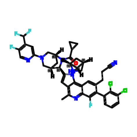 Cc1nc2c(F)c(-c3cccc(Cl)c3Cl)c(CCC#N)cc2c2c1cc([C@H]1[C@H]3C[C@H](CN(c4cc(C(F)F)c(F)cn4)C3)N1C(=O)C1CC1)n2[C@H]1[C@H]2CN[C@@H]1C2